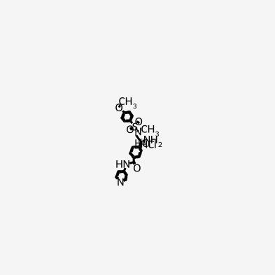 COc1ccc(S(=O)(=O)N(C)C[C@@H](N)c2ccc(C(=O)Nc3ccncc3)cc2)cc1.Cl.Cl